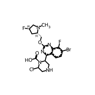 CN1C[C@H](F)C[C@H]1COc1nc(C2CNCC(Cl)N2C(=O)O)c2ccc(Br)c(F)c2n1